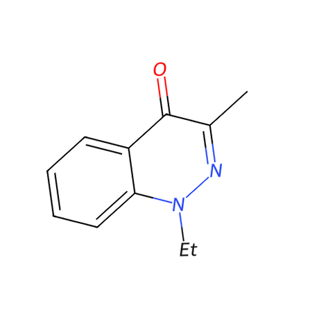 CCn1nc(C)c(=O)c2ccccc21